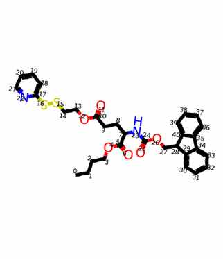 CCCCOC(=O)C(CCC(=O)OCCSSc1ccccn1)NC(=O)OCC1c2ccccc2-c2ccccc21